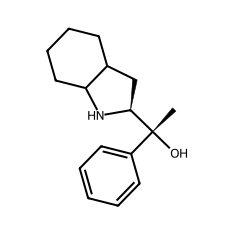 C[C@@](O)(c1ccccc1)[C@@H]1CC2CCCCC2N1